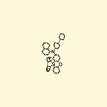 c1ccc(-c2ccc(N(c3ccc4c(c3)[Si]3(c5ccccc5O4)c4ccccc4-c4ccccc43)c3cccc4ccccc34)cc2)cc1